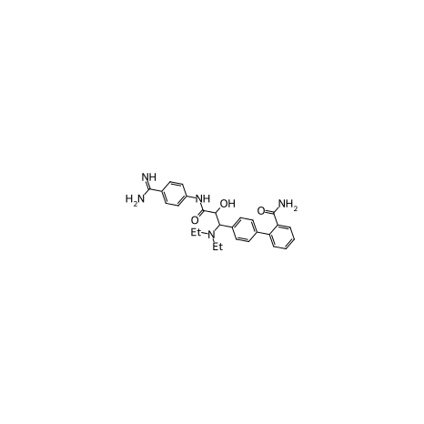 CCN(CC)C(c1ccc(-c2ccccc2C(N)=O)cc1)C(O)C(=O)Nc1ccc(C(=N)N)cc1